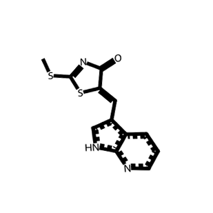 CSC1=NC(=O)/C(=C/c2c[nH]c3ncccc23)S1